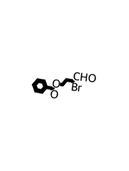 O=CC(Br)CCOC(=O)c1ccccc1